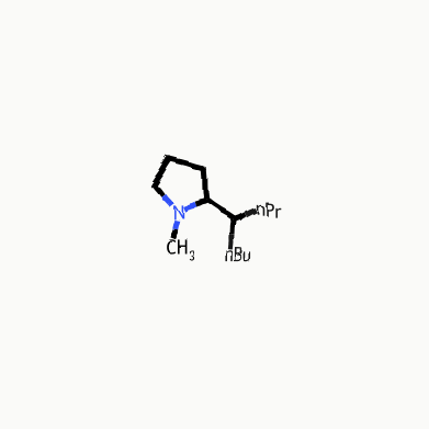 CCCCC(CCC)C1CCCN1C